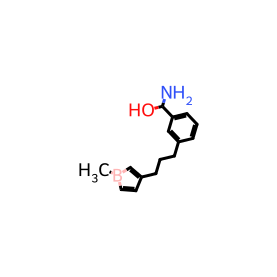 CB1C=CC(CCCc2cccc(C(N)O)c2)=C1